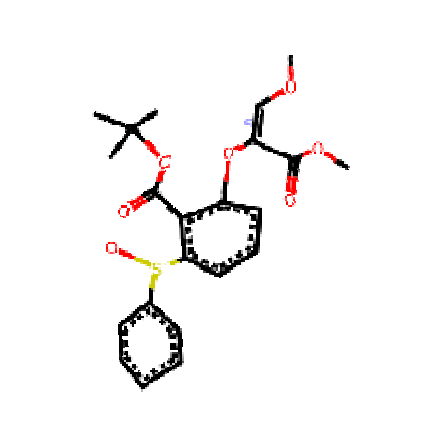 CO/C=C(/Oc1cccc([S+]([O-])c2ccccc2)c1C(=O)OC(C)(C)C)C(=O)OC